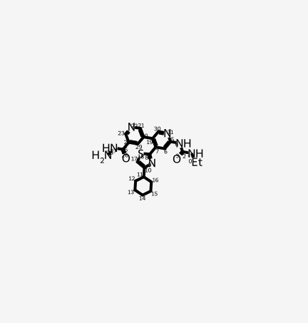 CCNC(=O)Nc1cc(-c2nc(C3CCCCC3)cs2)c(-c2cncc(C(=O)NN)c2)cn1